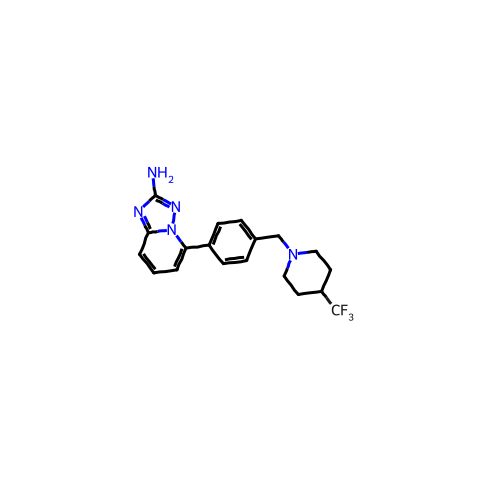 Nc1nc2cccc(-c3ccc(CN4CCC(C(F)(F)F)CC4)cc3)n2n1